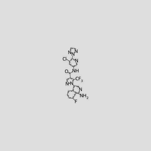 Nc1ncc(-n2ncc(C(=O)Nc3cnc(-n4nccn4)c(Cl)c3)c2C(F)(F)F)c2cccc(F)c12